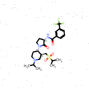 CC(C)N1CC[C@H](N2CC[C@H](NC(=O)c3cccc(C(F)(F)F)c3)C2=O)[C@@H](CS(=O)(=O)C(C)C)C1